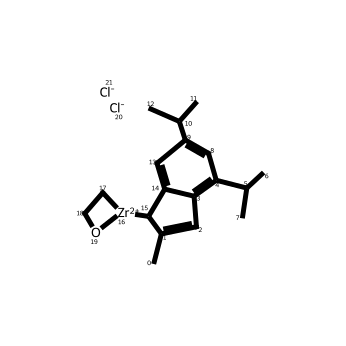 CC1=Cc2c(C(C)C)cc(C(C)C)cc2[CH]1[Zr+2]1[CH2]C[O]1.[Cl-].[Cl-]